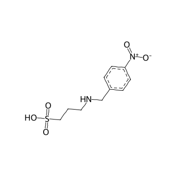 O=[N+]([O-])c1ccc(CNCCCS(=O)(=O)O)cc1